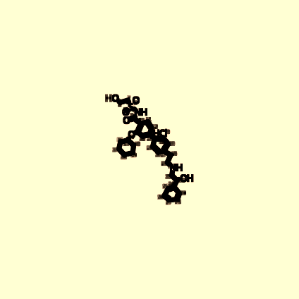 Cl.O=C(NS(=O)(=O)CCO)c1ccc(-c2ccc(CCNC[C@H](O)c3ccccc3)cc2)cc1OC1CCCCC1